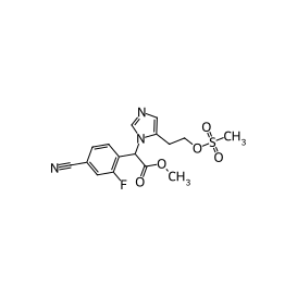 COC(=O)C(c1ccc(C#N)cc1F)n1cncc1CCOS(C)(=O)=O